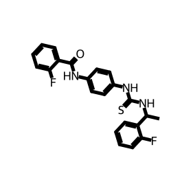 CC(NC(=S)Nc1ccc(NC(=O)c2ccccc2F)cc1)c1ccccc1F